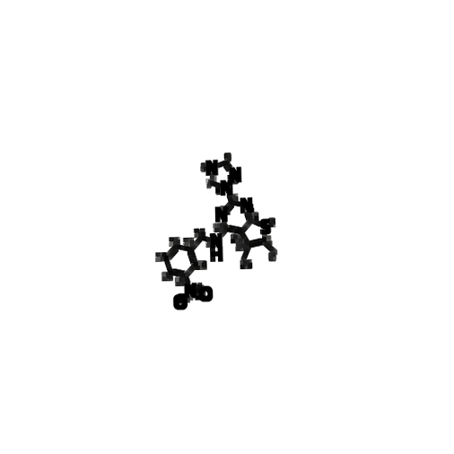 Cc1sc2nc(-n3cncn3)nc(NCc3cccc([N+](=O)[O-])c3)c2c1C